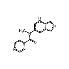 CN(C(=O)c1ccncc1)c1c[nH]c2cncc-2c1